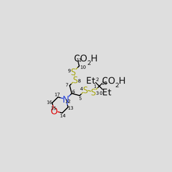 CCC(CC)(SSCC(CSSCC(=O)O)N1CCOCC1)C(=O)O